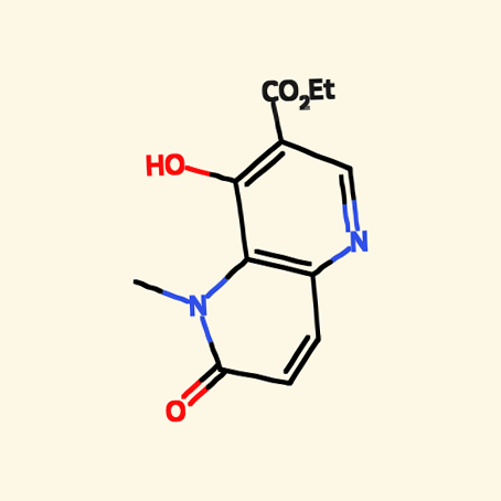 CCOC(=O)c1cnc2ccc(=O)n(C)c2c1O